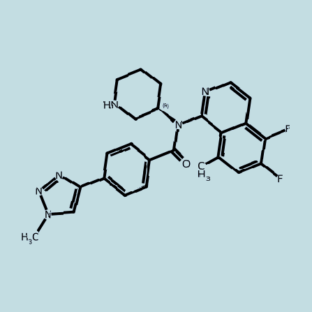 Cc1cc(F)c(F)c2ccnc(N(C(=O)c3ccc(-c4cn(C)nn4)cc3)[C@@H]3CCCNC3)c12